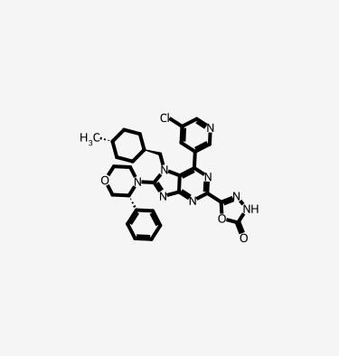 C[C@H]1CC[C@H](Cn2c(N3CCOC[C@H]3c3ccccc3)nc3nc(-c4n[nH]c(=O)o4)nc(-c4cncc(Cl)c4)c32)CC1